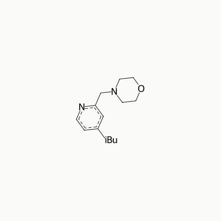 CCC(C)c1ccnc(CN2CCOCC2)c1